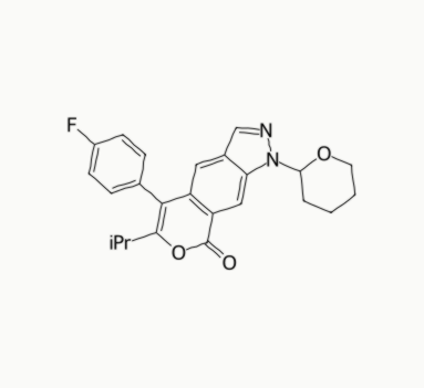 CC(C)c1oc(=O)c2cc3c(cnn3C3CCCCO3)cc2c1-c1ccc(F)cc1